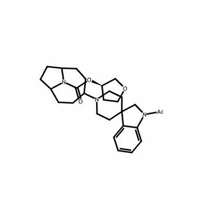 CC(=O)N1CC2(CCN(C3CCC4CCC(CC3)N4C(=O)O[C@@H]3CCOC3)CC2)c2ccccc21